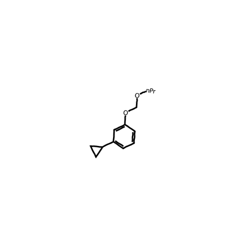 CCCOCOc1cccc(C2CC2)c1